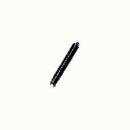 FC(F)C(F)(F)C(F)(F)C(F)(F)C(F)(F)C(F)(F)C(F)(F)C(F)(F)C(F)(F)C(F)(F)C(F)(F)C(F)(F)C(F)(F)C(F)(F)C(F)(F)C(F)(F)C(F)(F)C(F)(F)C(F)(F)C(F)(F)C(F)(F)C(F)(F)F